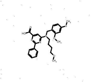 COCCCCN(Cc1ccc(OC)cc1OC)c1cc(C(=O)O)nc(-c2ccccc2)n1